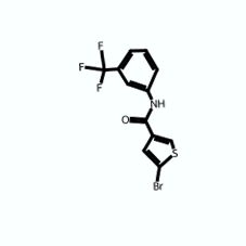 O=C(Nc1cccc(C(F)(F)F)c1)c1csc(Br)c1